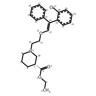 CCOC(=O)[C@@H]1CCCN(CCO/C=C(\c2ccccc2)c2ccccc2Cl)C1